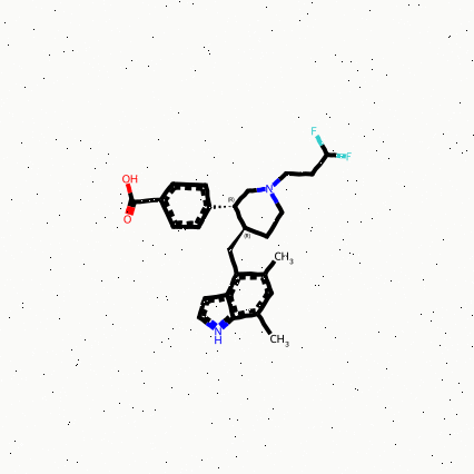 Cc1cc(C)c2[nH]ccc2c1C[C@@H]1CCN(CCC(F)F)C[C@H]1c1ccc(C(=O)O)cc1